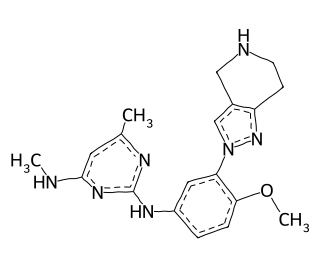 CNc1cc(C)nc(Nc2ccc(OC)c(-n3cc4c(n3)CCNC4)c2)n1